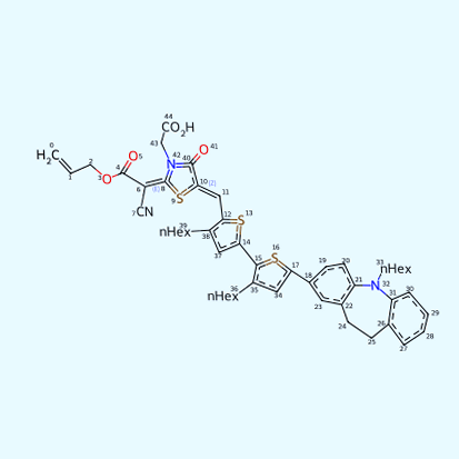 C=CCOC(=O)/C(C#N)=c1/s/c(=C\c2sc(-c3sc(-c4ccc5c(c4)CCc4ccccc4N5CCCCCC)cc3CCCCCC)cc2CCCCCC)c(=O)n1CC(=O)O